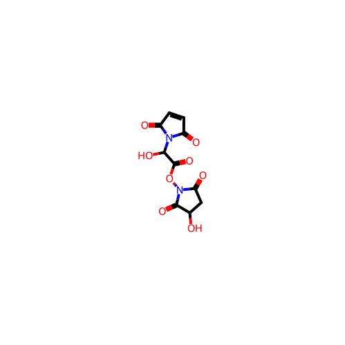 O=C(ON1C(=O)CC(O)C1=O)C(O)N1C(=O)C=CC1=O